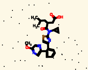 COc1cnc(-c2ccccc2-c2csc(N(C(=O)C(CC(=O)O)CC(C)C)C3CC3)n2)cn1